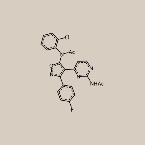 CC(=O)Nc1nccc(-c2c(-c3ccc(F)cc3)noc2N(C(C)=O)c2ccccc2Cl)n1